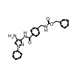 Nc1cn(-c2ccccc2)nc1NC(=O)c1ccc(CNC(=O)OCc2ccccc2)cc1